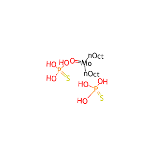 CCCCCCC[CH2][Mo](=[O])[CH2]CCCCCCC.OP(O)(O)=S.OP(O)(O)=S